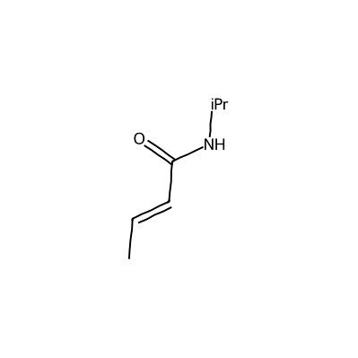 CC=CC(=O)NC(C)C